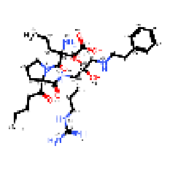 CCCCC(=O)[C@@]1(C(=O)N[C@@H](CCCNC(=N)N)[Si](O)(O)CNCCc2ccccc2)CCCN1C(=O)[C@](N)(CCC)CC(=O)O